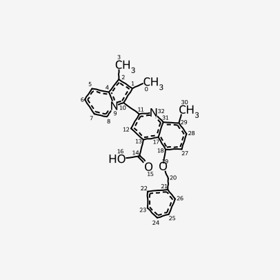 Cc1c(C)c2ccccn2c1-c1cc(C(=O)O)c2c(OCc3ccccc3)ccc(C)c2n1